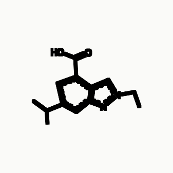 CCn1cc2c(C(=O)O)cc(C(C)C)cc2n1